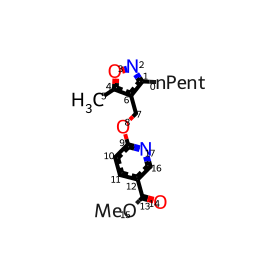 CCCCCc1noc(C)c1COc1ccc(C(=O)OC)cn1